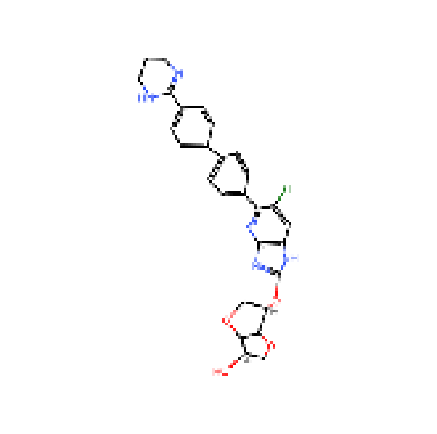 O[C@@H]1COC2C1OC[C@H]2Oc1nc2nc(-c3ccc(-c4ccc(C5=NCCCN5)cc4)cc3)c(Cl)cc2[nH]1